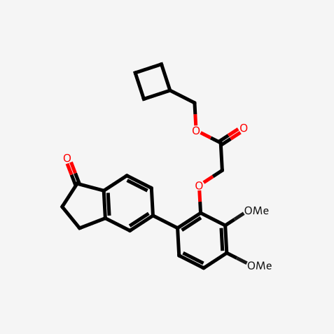 COc1ccc(-c2ccc3c(c2)CCC3=O)c(OCC(=O)OCC2CCC2)c1OC